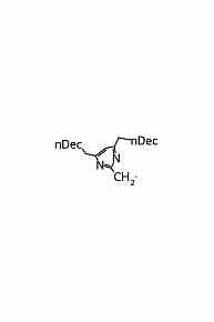 [CH2]c1nc(CCCCCCCCCCC)cc(CCCCCCCCCCC)n1